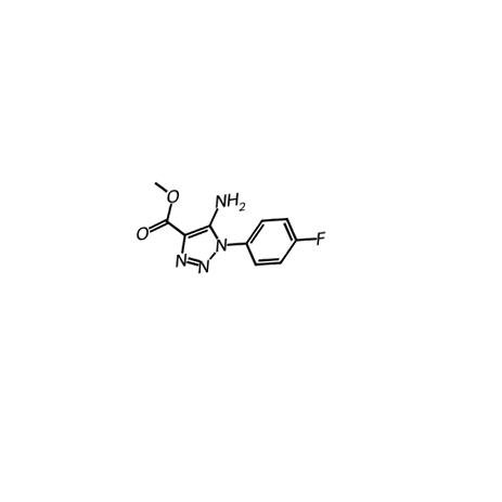 COC(=O)c1nnn(-c2ccc(F)cc2)c1N